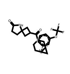 O=C1CCC2(CC(C(=O)N3CC[C@]4(c5cccc(OC(F)(F)F)c5)C[C@@H]4C3)C2)N1